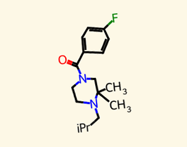 CC(C)CN1CCN(C(=O)c2ccc(F)cc2)CC1(C)C